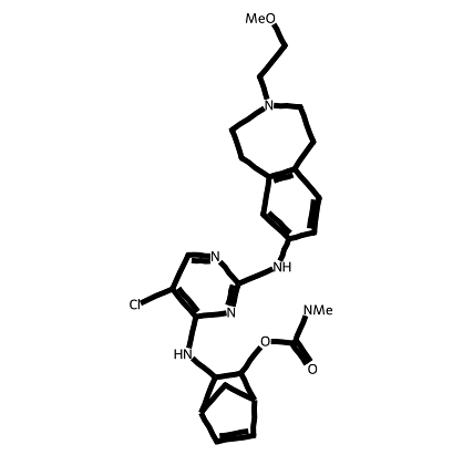 CNC(=O)OC1C2C=CC(C2)C1Nc1nc(Nc2ccc3c(c2)CCN(CCOC)CC3)ncc1Cl